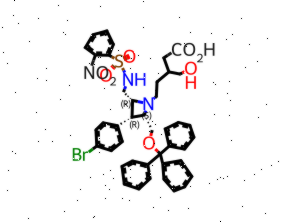 O=C(O)CC(CO)CCN1[C@H](COC(c2ccccc2)(c2ccccc2)c2ccccc2)[C@H](c2ccc(Br)cc2)[C@@H]1CNS(=O)(=O)c1ccccc1[N+](=O)[O-]